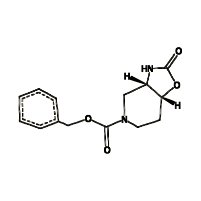 O=C1N[C@H]2CN(C(=O)OCc3ccccc3)CC[C@H]2O1